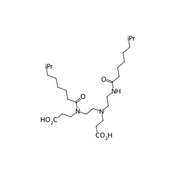 CC(C)CCCCCC(=O)NCCN(CCC(=O)O)CCN(CCC(=O)O)C(=O)CCCCCC(C)C